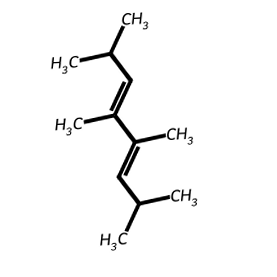 CC(=C\C(C)C)/C(C)=C/C(C)C